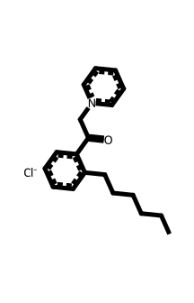 CCCCCCc1ccccc1C(=O)C[n+]1ccccc1.[Cl-]